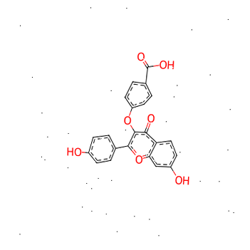 O=C(O)c1ccc(Oc2c(-c3ccc(O)cc3)oc3cc(O)ccc3c2=O)cc1